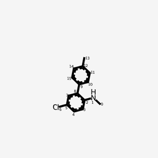 CNc1ccc(Cl)cc1-c1ccc(C)cc1